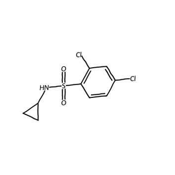 O=S(=O)(NC1CC1)c1ccc(Cl)cc1Cl